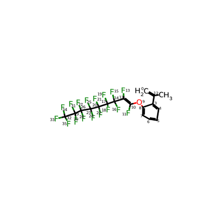 C=C(C)c1ccccc1OC(F)=C(F)C(F)(F)C(F)(F)C(F)(F)C(F)(F)C(F)(F)C(F)(F)C(F)(F)F